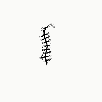 CC1OC1C(F)(F)C(F)(F)C(F)(F)C(F)(F)C(F)(F)C(F)(F)C(F)(C(F)(F)F)C(F)(F)F